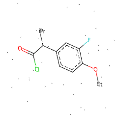 CCOc1ccc(C(C(=O)Cl)C(C)C)cc1F